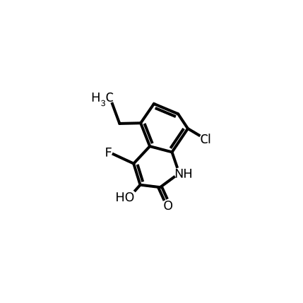 CCc1ccc(Cl)c2[nH]c(=O)c(O)c(F)c12